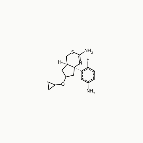 NC1=N[C@@]2(c3cc(N)ccc3F)CC(OC3CC3)C[C@H]2CS1